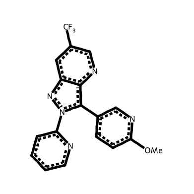 COc1ccc(-c2c3ncc(C(F)(F)F)cc3nn2-c2ccccn2)cn1